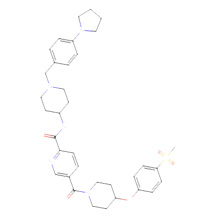 CS(=O)(=O)c1ccc(OC2CCN(C(=O)c3ccc(C(=O)NC4CCN(Cc5ccc(N6CCCC6)cc5)CC4)nc3)CC2)cc1